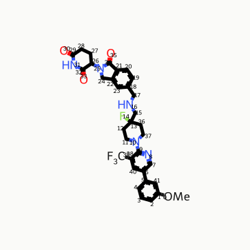 COc1cccc(-c2cnc(N3CCC(F)(CNCc4ccc5c(c4)CN(C4CCC(=O)NC4=O)C5=O)CC3)c(C(F)(F)F)c2)c1